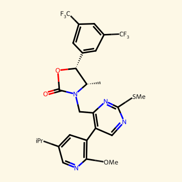 COc1ncc(C(C)C)cc1-c1cnc(SC)nc1CN1C(=O)O[C@H](c2cc(C(F)(F)F)cc(C(F)(F)F)c2)[C@@H]1C